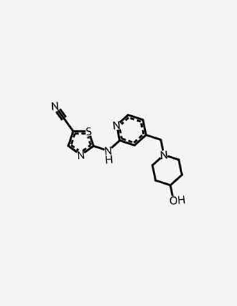 N#Cc1cnc(Nc2cc(CN3CCC(O)CC3)ccn2)s1